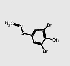 C=NSc1cc(Br)c(O)c(Br)c1